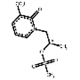 C[C@H](Cn1cccc(C(=O)O)c1=O)OS(C)(=O)=O